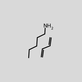 C=CC=C.CCCCCN